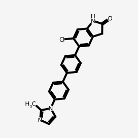 Cc1nccn1-c1ccc(-c2ccc(-c3cc4c(cc3Cl)NC(=O)C4)cc2)cc1